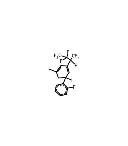 Fc1ccccc1C1(I)[CH]C(I)=CC(C(F)(C(F)(F)F)C(F)(F)C(F)(F)F)=C1